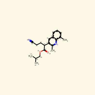 Cc1nc2c(C)cccc2cc1C(CCC#N)C(=O)OCC(C)C